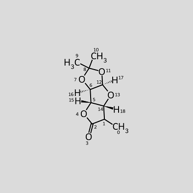 CC1C(=O)O[C@@H]2[C@H]3OC(C)(C)O[C@H]3O[C@H]12